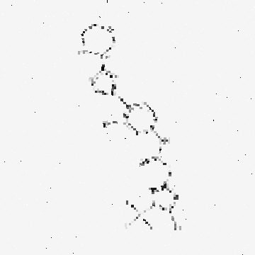 O=C(Cn1cc(Cl)c(C(F)(F)F)n1)Nc1cnc(-n2cnc([C@@H]3COCCN3)c2)c(F)c1